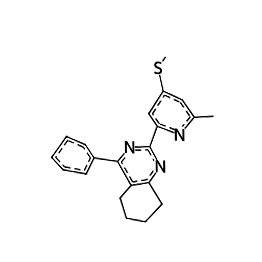 CSc1cc(C)nc(-c2nc3c(c(-c4ccccc4)n2)CCCC3)c1